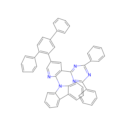 c1ccc(-c2ccc(-c3ccccc3)c(-c3cnc(-n4c5ccccc5c5ccccc54)c(-c4nc(-c5ccccc5)nc(-c5ccccc5)n4)c3)c2)cc1